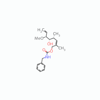 C=C[C@H](OC)[C@@H](O)[C@H](C)/C=C(/C)COC(=O)NCc1ccccc1